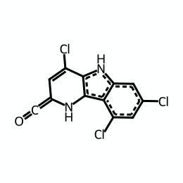 O=C=C1C=C(Cl)c2[nH]c3cc(Cl)cc(Cl)c3c2N1